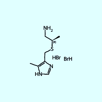 Br.Br.Cc1[nH]cnc1CS[C@H](C)CN